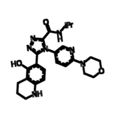 CC(C)NC(=O)c1nnc(-c2ccc3c(c2O)CCCN3)n1-c1ccc(N2CCOCC2)nc1